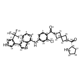 O=C(c1ccc(Nc2nccn3c(-c4c[nH]nc4C(F)(F)F)cnc23)cc1Cl)N1CC2(C1)CN(C(=O)[C@@H]1CCCN1)C2